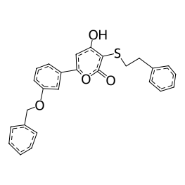 O=c1oc(-c2cccc(OCc3ccccc3)c2)cc(O)c1SCCc1ccccc1